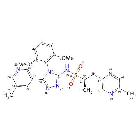 COc1cccc(OC)c1-n1c(NS(=O)(=O)[C@H](C)Cc2cnc(C)cn2)nnc1-c1cncc(C)c1